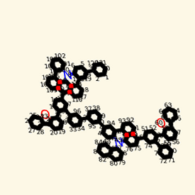 c1ccc(-c2ccc(N(c3ccc(-c4ccc(-c5cccc6c5oc5ccccc56)c(-c5cccc(-c6cccc(-c7ccc(N(c8ccc(-c9ccc(-c%10cccc%11c%10oc%10ccccc%10%11)c(-c%10ccccc%10)c9)cc8)c8cccc9ccccc89)c(-c8ccccc8)c7)c6)c5)c4)cc3)c3ccccc3-c3ccccc3)c(-c3ccccc3)c2)cc1